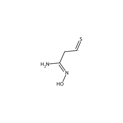 NC(C[C]=S)=NO